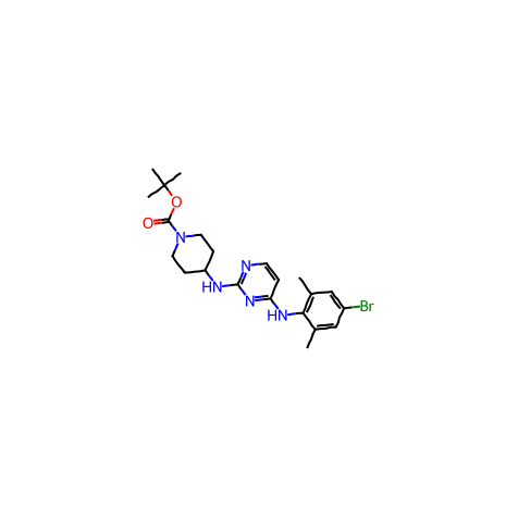 Cc1cc(Br)cc(C)c1Nc1ccnc(NC2CCN(C(=O)OC(C)(C)C)CC2)n1